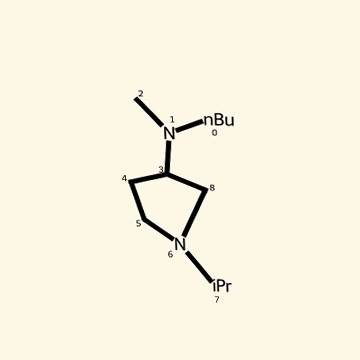 CCCCN(C)C1CCN(C(C)C)C1